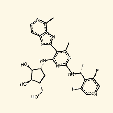 Cc1nc(N[C@H](C)c2c(F)cncc2F)nc(N[C@@H]2C[C@H](CO)[C@@H](O)[C@H]2O)c1-c1nc2c(C)nccc2s1